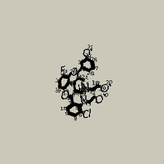 COCCNc1c(Cl)cccc1C(=O)[C@H]1CN(CCOC)C[C@H](C(=O)c2cccc(OC)c2)[C@@H]1c1cccc(F)c1C